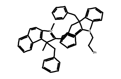 CC(C)CCN1/C(=C/C=C/C2=[N+](C)c3ccc4ccccc4c3C2(C)Cc2ccccc2)C(Cc2ccccc2)(Cc2ccccc2)c2ccccc21